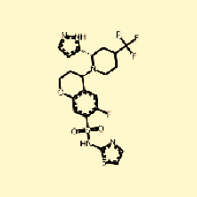 O=S(=O)(Nc1nccs1)c1cc2c(cc1F)[C@H](N1CCC(C(F)(F)F)C[C@H]1c1ccn[nH]1)CCO2